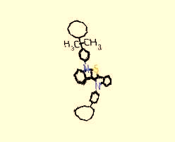 CC(C)(c1ccc(-n2c3ccccc3c3c2sc2c4ccccc4n(-c4ccc(C5CCCCCCCCC5)cc4)c23)cc1)C1CCCCCCCCCC1